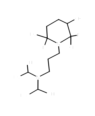 CCC1(C)CCC(C)C(C)(CC)N1CCCN(C(C)O)C(C)O